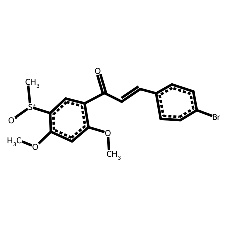 COc1cc(OC)c([S+](C)[O-])cc1C(=O)C=Cc1ccc(Br)cc1